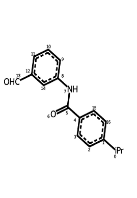 CC(C)c1ccc(C(=O)Nc2cccc(C=O)c2)cc1